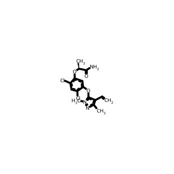 C=Cc1c(C)nn(C)c1Oc1cc(O[C@@H](C)C(N)=O)c(Cl)cc1Cl